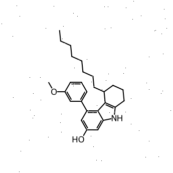 CCCCCCCCC1CCCc2[nH]c3cc(O)cc(-c4cccc(OC)c4)c3c21